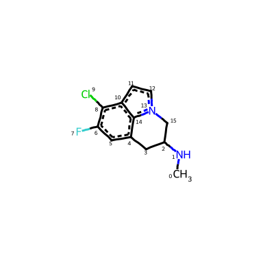 CNC1Cc2cc(F)c(Cl)c3ccn(c23)C1